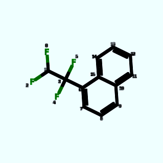 FC(F)C(F)(F)c1cccc2ccccc12